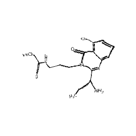 CCC(N)c1nc2cccc(Cl)c2c(=O)n1CCCNC(=O)O